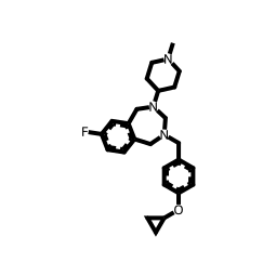 CN1CCC(N2Cc3cc(F)ccc3CN(Cc3ccc(OC4CC4)cc3)C2)CC1